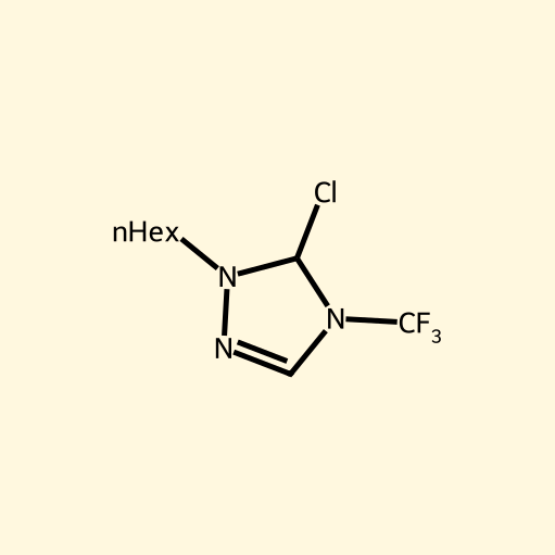 CCCCCCN1N=CN(C(F)(F)F)C1Cl